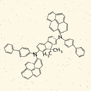 CC1(C)c2cc(N(c3ccc(-c4ccccc4)cc3)c3ccc4ccc5cccc6ccc3c4c56)ccc2-c2ccc(N(c3ccc(-c4ccccc4)cc3)c3ccc4ccc5cccc6ccc3c4c56)cc21